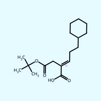 CC(C)(C)OC(=O)C/C(=C\CCC1CCCCC1)C(=O)O